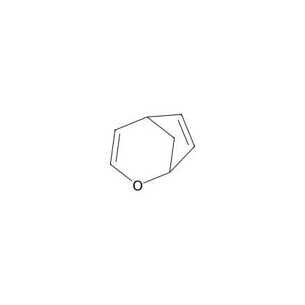 C1=CC2C=CC(C2)O1